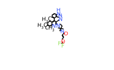 Cc1ccc2[nH]ncc2c1-c1c(C#N)c(N2CCC3(CN(C(=O)C=CCOC(F)F)C3)C2)nc2c1CCC(C)(C)C2